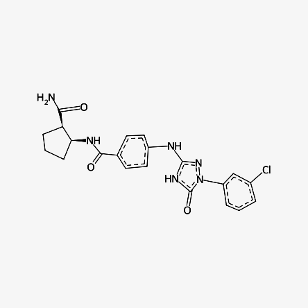 NC(=O)[C@@H]1CCC[C@@H]1NC(=O)c1ccc(Nc2nn(-c3cccc(Cl)c3)c(=O)[nH]2)cc1